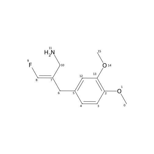 COc1ccc(C/C(=C/F)CN)cc1OC